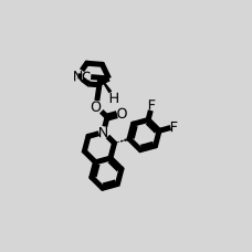 O=C(O[C@@H]1CN2CCC1CC2)N1CCc2ccccc2[C@H]1c1ccc(F)c(F)c1